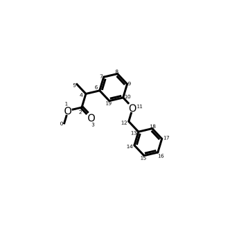 COC(=O)C(C)c1cccc(OCc2ccccc2)c1